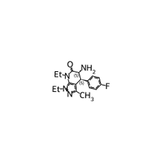 CCN1C(=O)[C@@H](N)[C@@H](c2ccc(F)cc2)c2c(C)nn(CC)c21